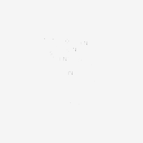 N#CN=S(=O)(NC(=O)Nc1c2c(cc3c1CCC3)CCC2)c1cccs1